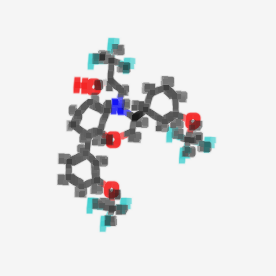 O[C@@H](CN1c2cccc(-c3cccc(OC(F)(F)F)c3)c2OCC1[C@@H]1C=C(OC(F)(F)F)C=CC1)C(F)(F)F